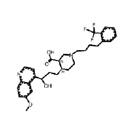 COc1ccc2nccc(C(O)CC[C@@H]3CCN(CCCCc4ccccc4C(F)(F)F)C[C@@H]3C(=O)O)c2c1